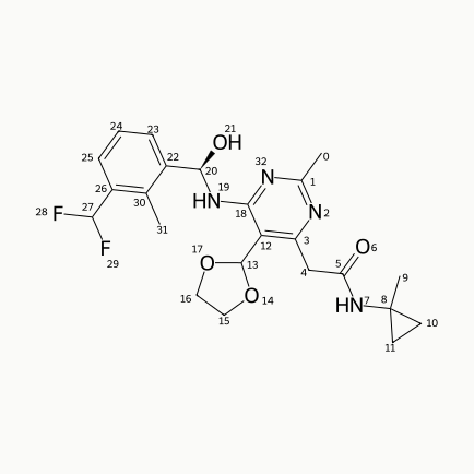 Cc1nc(CC(=O)NC2(C)CC2)c(C2OCCO2)c(N[C@H](O)c2cccc(C(F)F)c2C)n1